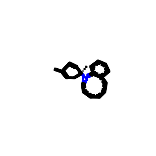 CC1=CC[C@](C)(n2ccccccc3ccccc32)C=C1